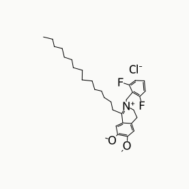 CCCCCCCCCCCCCCCC1=[N+](Cc2c(F)cccc2F)CCc2cc(OC)c(OC)cc21.[Cl-]